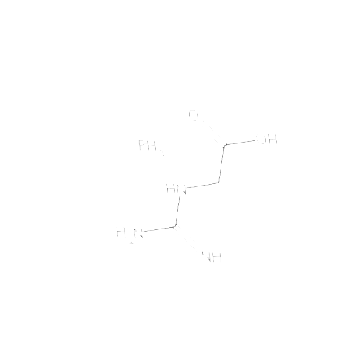 N=C(N)NCC(=O)O.P